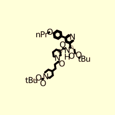 CCCOc1ccc(-c2cncc([C@H](CC(=O)OC(C)(C)C)NC(=O)[C@@H]3CCCN(C(=O)CCC4CCN(C(=O)OC(C)(C)C)CC4)C3)c2)cc1